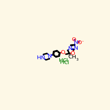 C[C@]1(COc2ccc(N3CCNCC3)cc2)Cn2cc([N+](=O)[O-])nc2O1.Cl.Cl